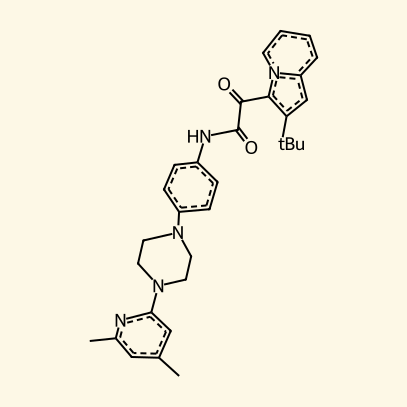 Cc1cc(C)nc(N2CCN(c3ccc(NC(=O)C(=O)c4c(C(C)(C)C)cc5ccccn45)cc3)CC2)c1